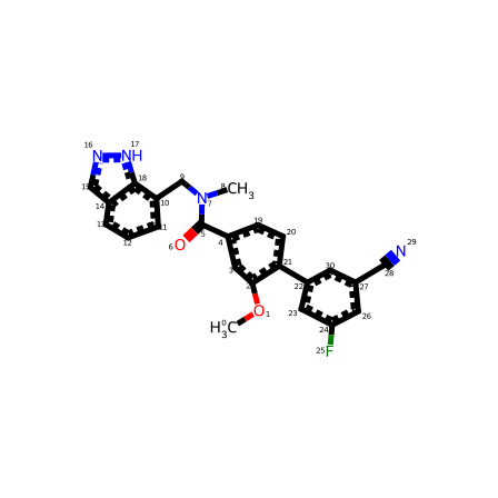 COc1cc(C(=O)N(C)Cc2cccc3cn[nH]c23)ccc1-c1cc(F)cc(C#N)c1